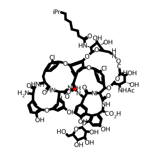 CC(=O)NC1C2OC3c4ccc(c(Cl)c4)Oc4cc5cc(c4OC4OC(CNOC[C@@H](O2)C(O)[C@@H]1O)[C@@H](O)C(O)[C@H]4NC(=O)CCCCCCC(C)C)Oc1ccc(cc1Cl)C[C@H]1NC(=O)C(N)c2ccc(O)c(c2)Oc2cc(O)cc(c2)[C@H](NC1=O)C(=O)N[C@H]5C(=O)NC1C(=O)NC3C(=O)NC(C(=O)O)c2cc(O)cc(O[C@H]3OC(CO)[C@@H](O)C(O)C3O)c2-c2cc1ccc2O